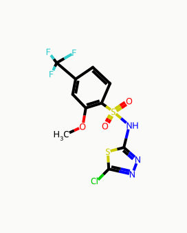 COc1cc(C(F)(F)F)ccc1S(=O)(=O)Nc1nnc(Cl)s1